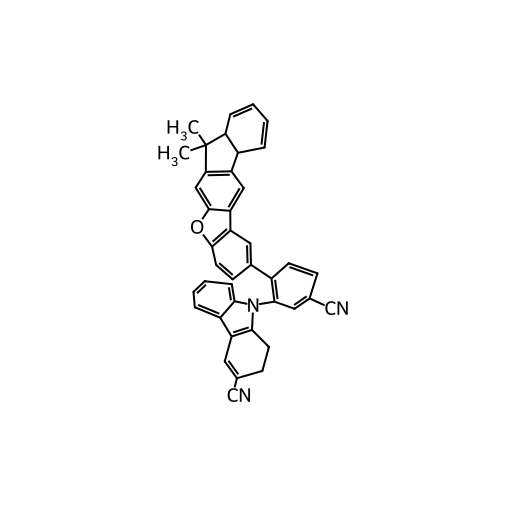 CC1(C)c2cc3oc4ccc(-c5ccc(C#N)cc5-n5c6c(c7ccccc75)C=C(C#N)CC6)cc4c3cc2C2C=CC=CC21